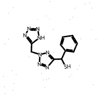 SC(c1ccccc1)c1nnn(Cc2nnn[nH]2)n1